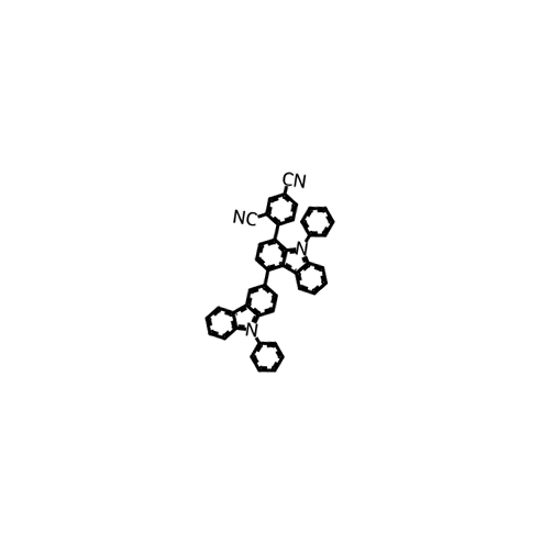 N#Cc1ccc(-c2ccc(-c3ccc4c(c3)c3ccccc3n4-c3ccccc3)c3c4ccccc4n(-c4ccccc4)c23)c(C#N)c1